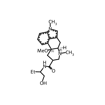 CCC(CO)NC(=O)C1CN(C)[C@@H]2Cc3cn(C)c4cccc(c34)[C@@]2(OC)C1